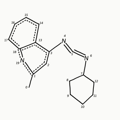 Cc1cc(N=C=NC2CCCCC2)c2ccccc2n1